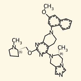 COc1cc(N2CCc3c(nc(OC[C@@H]4CCCN4C)nc3N3Cc4cncn4C[C@H]3C)C2)c2ccccc2c1